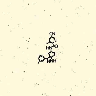 Cc1cccc(-c2n[nH]c3ccc(NC(=O)c4ncc(C#N)cc4C)cc23)c1